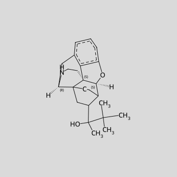 CC(C)(C)C(C)(O)C1CC23CCC1[C@@H]1Oc4cccc5c4[C@@]12CCN[C@@H]3C5